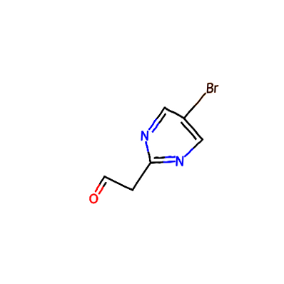 O=CCc1ncc(Br)cn1